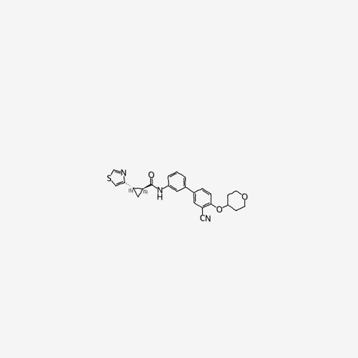 N#Cc1cc(-c2cccc(NC(=O)[C@H]3C[C@@H]3c3cscn3)c2)ccc1OC1CCOCC1